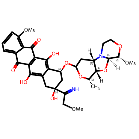 COCC(=N)[C@]1(O)Cc2c(O)c3c(c(O)c2[C@@H](OC2C[C@H]4[C@H](O[C@@H]5[C@@H](OC)OCCN54)[C@H](C)O2)C1)C(=O)c1c(OC)cccc1C3=O